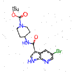 CC(C)(C)OC(=O)N1CCC(NC(=O)c2c[nH]c3ncc(Br)cc23)CC1